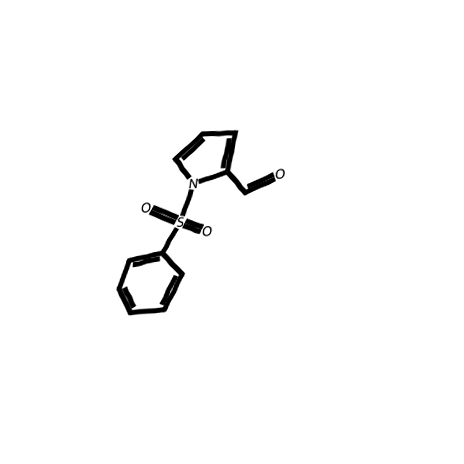 O=Cc1cccn1S(=O)(=O)c1ccccc1